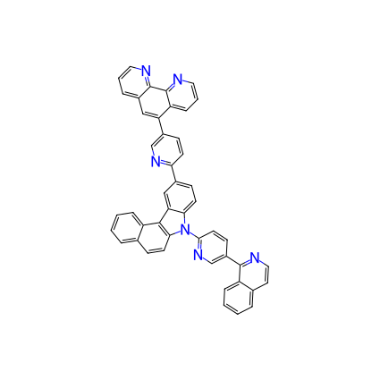 c1ccc2c(-c3ccc(-n4c5ccc(-c6ccc(-c7cc8cccnc8c8ncccc78)cn6)cc5c5c6ccccc6ccc54)nc3)nccc2c1